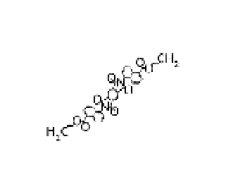 C=CCOC(=O)c1cccc2c(-n3c(=O)c4cc5c(=O)n(-c6cccc7c(C(=O)OCC=C)cccc67)c(=O)c5cc4c3=O)cccc12